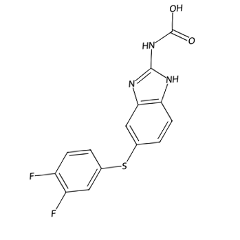 O=C(O)Nc1nc2cc(Sc3ccc(F)c(F)c3)ccc2[nH]1